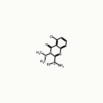 CC[C@H](N)c1nc2cccc(Cl)c2c(=O)n1N(C)C